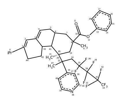 CC(C)C1=CC2=CCC3CC(C)(C(=O)Oc4ccccc4)C[C@@](C)(C(C)(CC(F)(F)C(F)(F)C(F)(F)C(F)(F)F)c4ccncc4)C3C2CC1